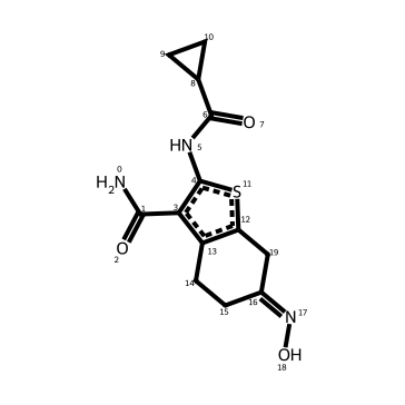 NC(=O)c1c(NC(=O)C2CC2)sc2c1CCC(=NO)C2